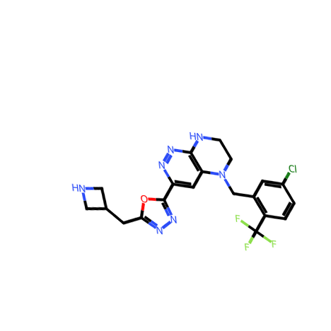 FC(F)(F)c1ccc(Cl)cc1CN1CCNc2nnc(-c3nnc(CC4CNC4)o3)cc21